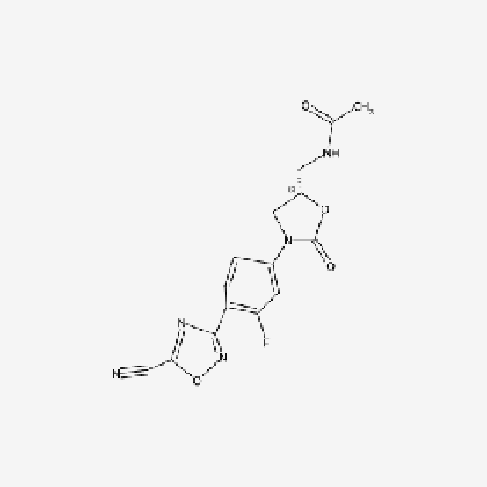 CC(=O)NC[C@H]1CN(c2ccc(-c3noc(C#N)n3)c(F)c2)C(=O)O1